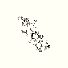 C=CCn1c(CCC(C)c2cnc(Cl)s2)nc(=O)c(-c2cccc(C(F)(F)F)c2)c1I